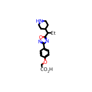 CCC(c1nc(-c2ccc(OCC(=O)O)cc2)no1)C1CCNCC1